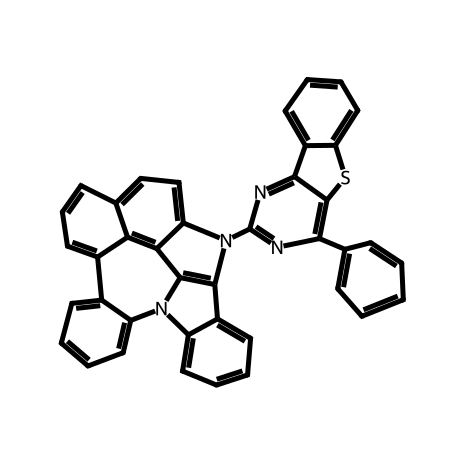 c1ccc(-c2nc(-n3c4ccc5cccc6c7ccccc7n7c8ccccc8c3c7c4c56)nc3c2sc2ccccc23)cc1